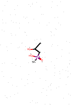 CC(O)CP(=O)(O)C#N